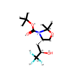 CC(C)(C)OC(=O)N1[C@@H](C[C@@H](O)C(F)(F)F)COC1(C)C